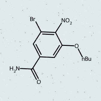 [CH2]CCCOc1cc(C(N)=O)cc(Br)c1[N+](=O)[O-]